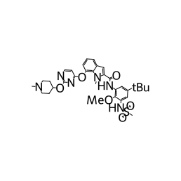 COc1c(NC(=O)c2cc3cccc(Oc4ccnc(OC5CCN(C)CC5)n4)c3n2C)cc(C(C)(C)C)cc1NS(C)(=O)=O